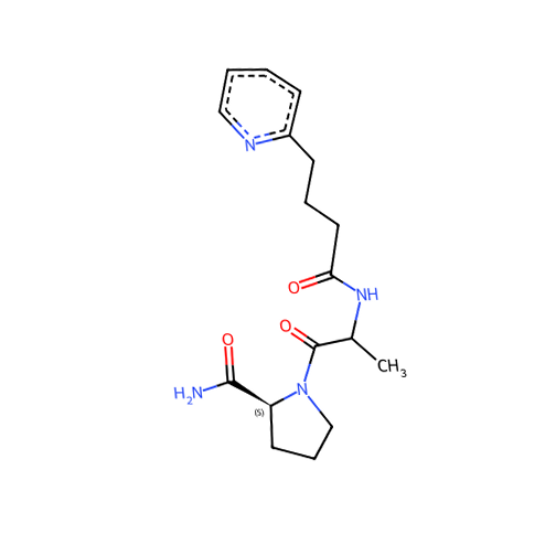 CC(NC(=O)CCCc1ccccn1)C(=O)N1CCC[C@H]1C(N)=O